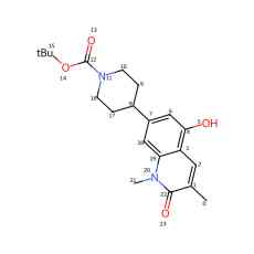 Cc1cc2c(O)cc(C3CCN(C(=O)OC(C)(C)C)CC3)cc2n(C)c1=O